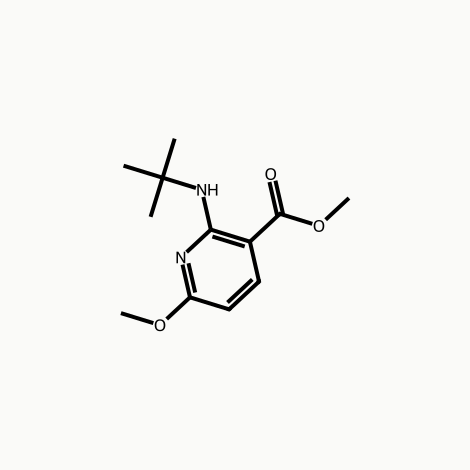 COC(=O)c1ccc(OC)nc1NC(C)(C)C